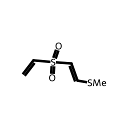 C=CS(=O)(=O)C=CSC